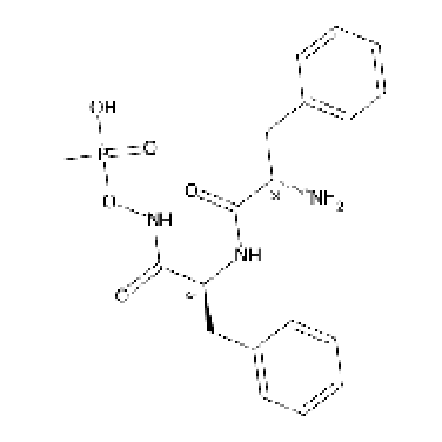 CP(=O)(O)ONC(=O)[C@H](Cc1ccccc1)NC(=O)[C@@H](N)Cc1ccccc1